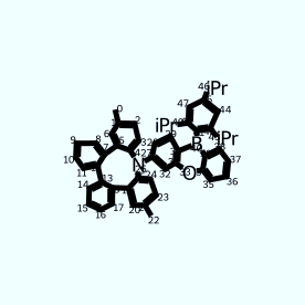 Cc1ccc2c(c1)c1ccccc1c1ccccc1c1cc(C)ccc1n2-c1ccc2c(c1)Oc1ccccc1B2c1c(C(C)C)cc(C(C)C)cc1C(C)C